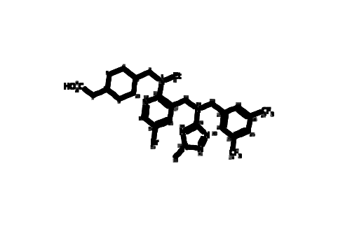 CCN(CC1CCC(CC(=O)O)CC1)c1ncc(Br)cc1CN(Cc1cc(C(F)(F)F)cc(C(F)(F)F)c1)c1nnn(C)n1